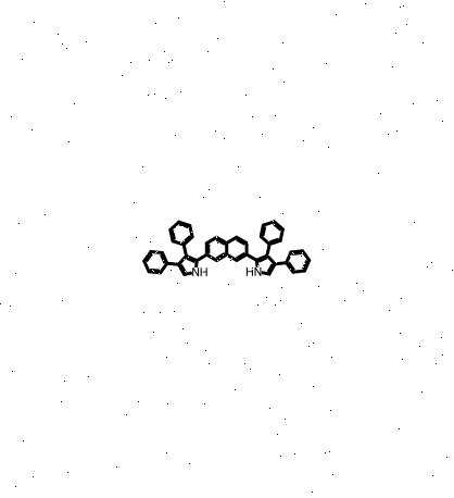 c1ccc(-c2c[nH]c(-c3ccc4ccc(-c5[nH]cc(-c6ccccc6)c5-c5ccccc5)cc4c3)c2-c2ccccc2)cc1